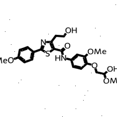 COc1ccc(-c2nc(CCO)c(C(=O)Nc3ccc(OCC(O)OC)c(OC)c3)s2)cc1